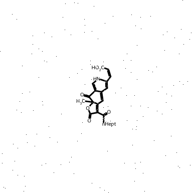 CCCCCCCC(=O)C1=C2C=C3C=C(/C=C\C(=O)O)NC=C3C(=O)C2(C)OC1=O